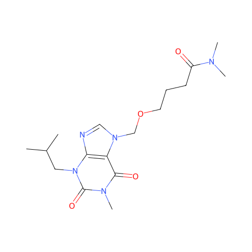 CC(C)Cn1c(=O)n(C)c(=O)c2c1ncn2COCCCC(=O)N(C)C